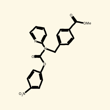 COC(=O)c1ccc(CN(C(=O)Oc2ccc([N+](=O)[O-])cc2)c2ccccn2)cc1